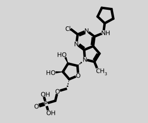 Cc1cc2c(NC3CCCC3)nc(Cl)nc2n1[C@@H]1O[C@H](COCP(=O)(O)O)[C@@H](O)[C@H]1O